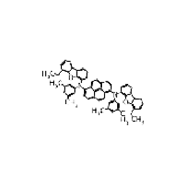 CCc1cccc2c1oc1c(N(c3cc(C)cc(C)c3)c3ccc4ccc5c(N(c6cc(C)cc(C)c6)c6cccc7c6oc6c(CC)cccc67)ccc6ccc3c4c65)cccc12